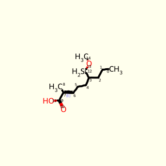 CCCC(CC/C=C(\C)C(=O)O)[SiH2]OC